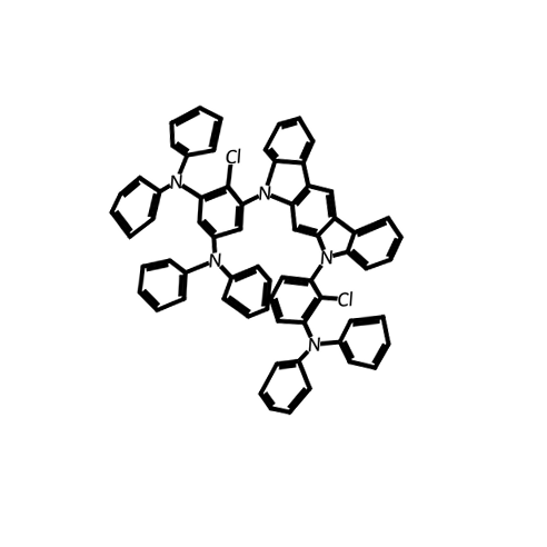 Clc1c(N(c2ccccc2)c2ccccc2)cccc1-n1c2ccccc2c2cc3c4ccccc4n(-c4cc(N(c5ccccc5)c5ccccc5)cc(N(c5ccccc5)c5ccccc5)c4Cl)c3cc21